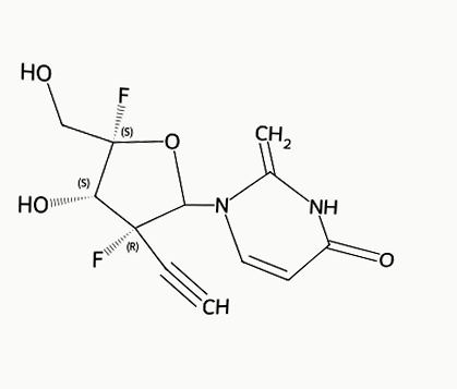 C#C[C@]1(F)C(N2C=CC(=O)NC2=C)O[C@](F)(CO)[C@H]1O